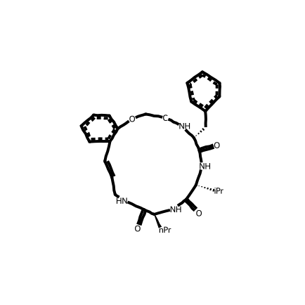 CCC[C@@H]1NC(=O)[C@@H](C(C)C)NC(=O)[C@@H](Cc2ccccc2)NCCOc2ccccc2/C=C/CNC1=O